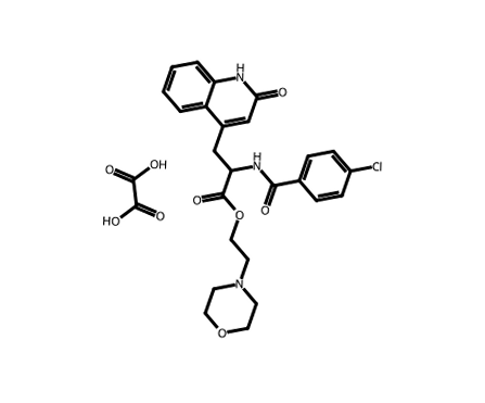 O=C(NC(Cc1cc(=O)[nH]c2ccccc12)C(=O)OCCN1CCOCC1)c1ccc(Cl)cc1.O=C(O)C(=O)O